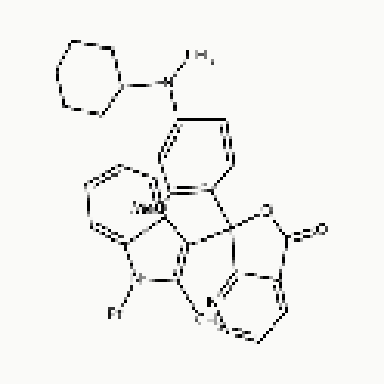 CCn1c(C)c(C2(c3ccc(N(C)C4CCCCC4)cc3OC)OC(=O)c3cccnc32)c2ccccc21